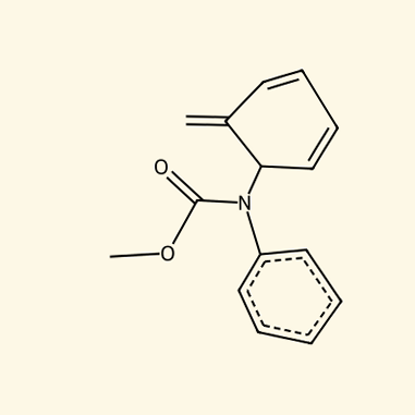 C=C1C=CC=CC1N(C(=O)OC)c1ccccc1